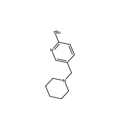 CC(C)(C)c1ccc(CN2CCCCC2)cn1